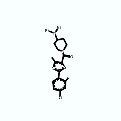 CCN(CC)C1CCN(C(=O)c2sc(-c3ccc(Cl)cc3C)nc2C)CC1